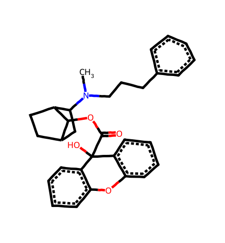 CN(CCCc1ccccc1)C1CC2CCC1C2OC(=O)C1(O)c2ccccc2Oc2ccccc21